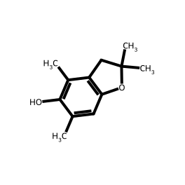 Cc1cc2c(c(C)c1O)CC(C)(C)O2